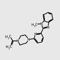 C=C(C)N1CCN(c2cccc(-c3nc4ccccc4n3C)n2)CC1